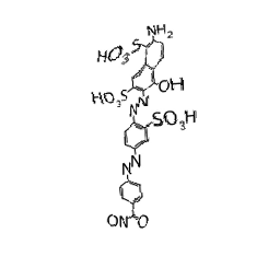 Nc1ccc2c(O)c(N=Nc3ccc(N=Nc4ccc(C(=O)N=O)cc4)cc3S(=O)(=O)O)c(S(=O)(=O)O)cc2c1S(=O)(=O)O